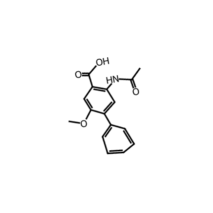 COc1cc(C(=O)O)c(NC(C)=O)cc1-c1ccccc1